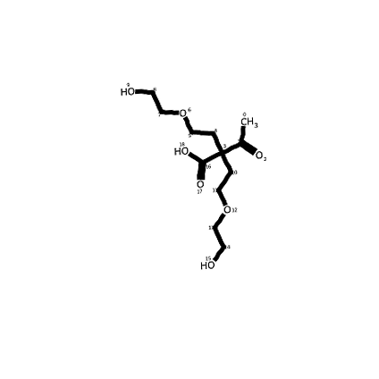 CC(=O)C(CCOCCO)(CCOCCO)C(=O)O